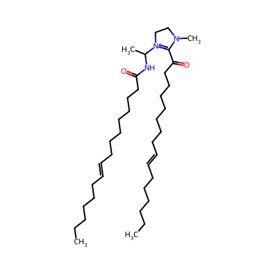 CCCCCCC=CCCCCCCCC(=O)NC(C)[N+]1=C(C(=O)CCCCCCCC=CCCCCCC)N(C)CC1